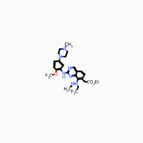 C=NN(CC(F)(F)F)c1c(CC(=O)OCC)ccc2cnc(Nc3cc(N4CCN(C)CC4)ccc3OC(F)(F)F)nc12